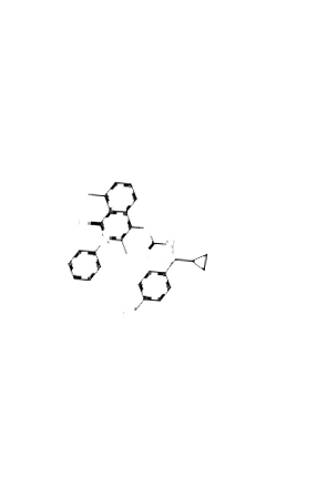 Cc1c(OC(=O)N[C@H](c2ccc(Cl)cc2)C2CC2)c2cccc(Cl)c2c(=O)n1-c1ccccc1